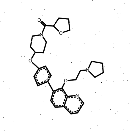 O=C(C1CCCO1)N1CCC(Oc2ccc(-c3ccc4cccnc4c3OCCN3CCCC3)cc2)CC1